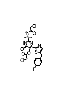 CN(C(=O)CCl)C(C)(C)c1nc(-c2ncc(Cc3ccc(F)cc3)s2)c(OC(=O)CCl)c(=O)[nH]1